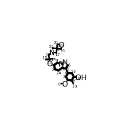 COc1cc(-c2cnn3cc(OC(C)(C)CN4CC5(COC5)C4)ccc23)cc(O)c1C